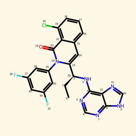 CC[C@H](Nc1ncnc2[nH]cnc12)c1cc2cccc(Cl)c2c(=O)n1-c1cc(F)cc(F)c1